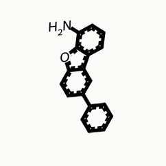 Nc1cccc2c1oc1ccc(-c3ccccc3)cc12